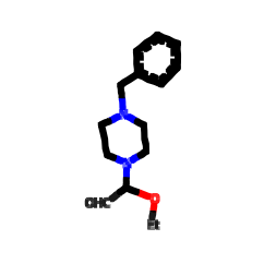 [CH2]COC(C=O)N1CCN(Cc2ccccc2)CC1